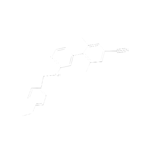 COc1ccc(CNc2cc(-c3c(C)cc(C#N)cc3C)ccn2)cc1